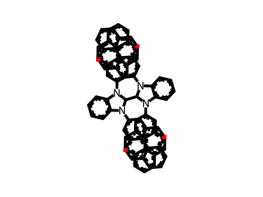 c1ccc2c(c1)N(c1cc3ccc4cccc5ccc(c1)c3c45)C(C1N(c3cc4ccc5cccc6ccc(c3)c4c56)c3ccccc3N1c1cc3ccc4cccc5ccc(c1)c3c45)N2c1cc2ccc3cccc4ccc(c1)c2c34